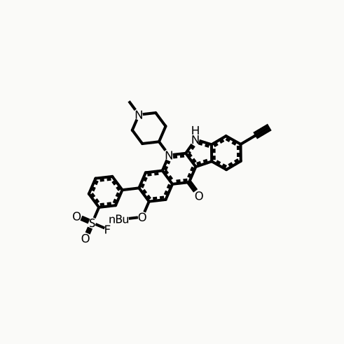 C#Cc1ccc2c(c1)[nH]c1c2c(=O)c2cc(OCCCC)c(-c3cccc(S(=O)(=O)F)c3)cc2n1C1CCN(C)CC1